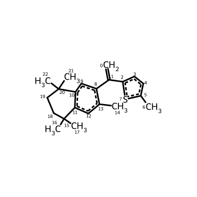 C=C(c1ccc(C)s1)c1cc2c(cc1C)C(C)(C)CCC2(C)C